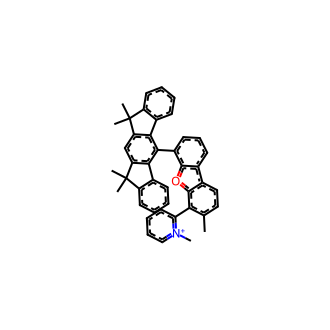 Cc1ccc2c(oc3c(-c4c5c(cc6c4-c4ccccc4C6(C)C)C(C)(C)c4ccccc4-5)cccc32)c1-c1cccc[n+]1C